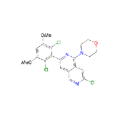 COc1cc(OC)c(Cl)c(-c2cc3cnc(Cl)cc3c(N3CCOCC3)n2)c1Cl